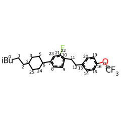 CCC(C)CCC1CCC(c2ccc(CCc3ccc(OC(F)(F)F)cc3)c(F)c2)CC1